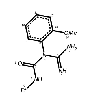 CCNC(=O)N(C(=N)N)c1ccccc1OC